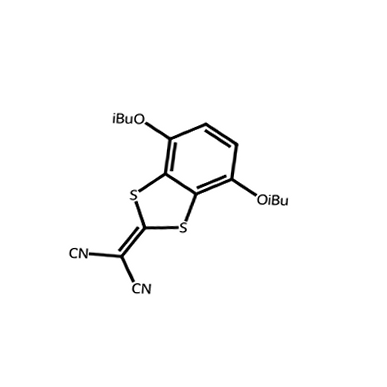 [C-]#[N+]C(C#N)=C1Sc2c(OCC(C)C)ccc(OCC(C)C)c2S1